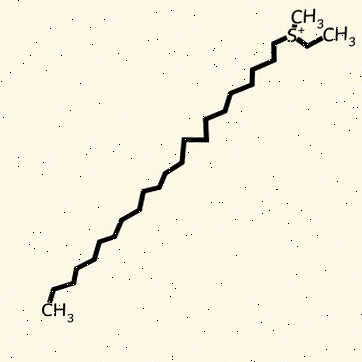 CCCCCCCCCCCCCCCCCCCCCC[S+](C)CC